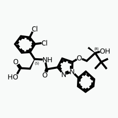 CC(C)(C)[C@@](C)(O)COc1cc(C(=O)N[C@@H](CC(=O)O)c2cccc(Cl)c2Cl)nn1-c1ccccc1